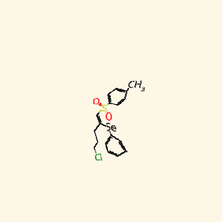 Cc1ccc(S(=O)(=O)C=C(CCCCl)[Se]c2ccccc2)cc1